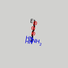 CCOCCOCCOCCNC(=N)N